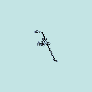 CCCCCCCCCCCCCCCC(=O)O[C@H](COC(=O)CCCCCCCCCCCCSC(C)=O)COP(=O)(O)O